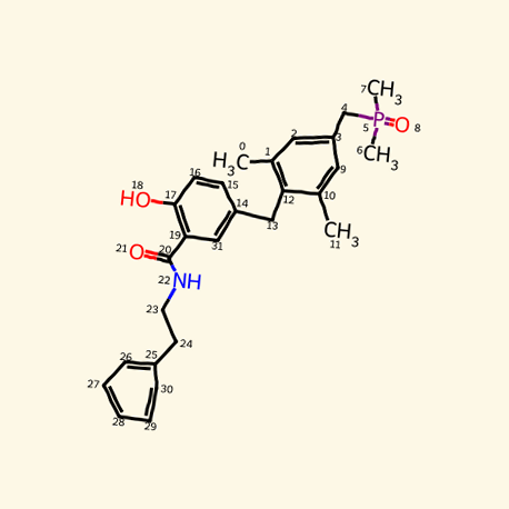 Cc1cc(CP(C)(C)=O)cc(C)c1Cc1ccc(O)c(C(=O)NCCc2ccccc2)c1